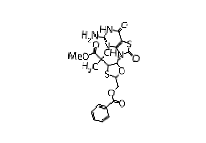 COC(=O)C(C)(C)C1SC(COC(=O)c2ccccc2)OC1n1c(=O)sc2c(=O)[nH]c(N)nc21